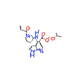 C=CC(=O)N1CCC[C@H](Nc2c(C(=O)OCOC(C)C)cnc3[nH]ccc23)C1